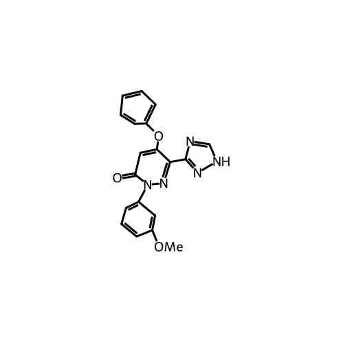 COc1cccc(-n2nc(-c3nc[nH]n3)c(Oc3ccccc3)cc2=O)c1